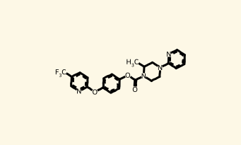 CC1CN(c2ccccn2)CCN1C(=O)Oc1ccc(Oc2ccc(C(F)(F)F)cn2)cc1